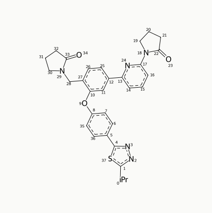 CC(C)c1nnc(-c2ccc(Oc3cc(-c4cccc(N5CCCC5=O)n4)ccc3CN3CCCC3=O)cc2)s1